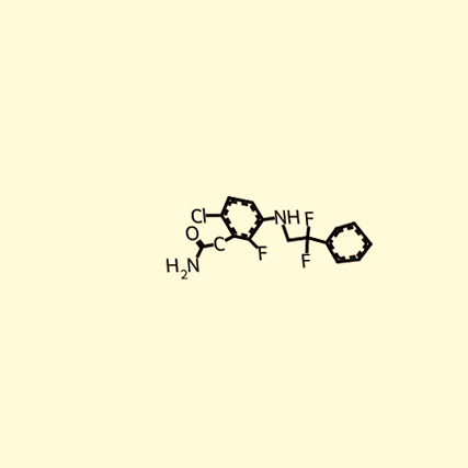 NC(=O)Cc1c(Cl)ccc(NCC(F)(F)c2ccccc2)c1F